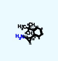 CC(C)(C)c1ccccc1C1CC1N